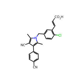 Cc1c(C#N)c(-c2ccc(C#N)cc2)c(C)n1Cc1ccc(Cl)c(C=CC(=O)O)c1